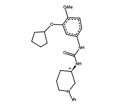 COc1ccc(NC(=O)N[C@@H]2CCCN(C(C)C)C2)cc1OC1CCCC1